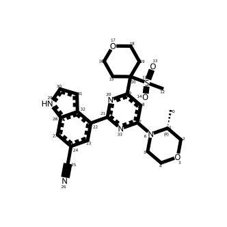 C[C@@H]1COCCN1c1cc(C2(S(C)(=O)=O)CCOCC2)nc(-c2cc(C#N)cc3[nH]ccc23)n1